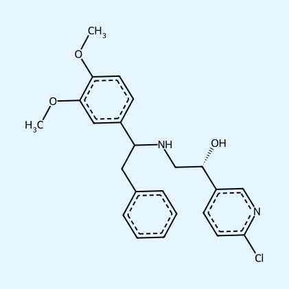 COc1ccc(C(Cc2ccccc2)NC[C@H](O)c2ccc(Cl)nc2)cc1OC